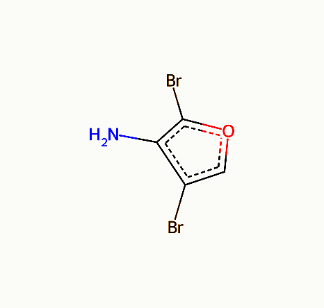 Nc1c(Br)coc1Br